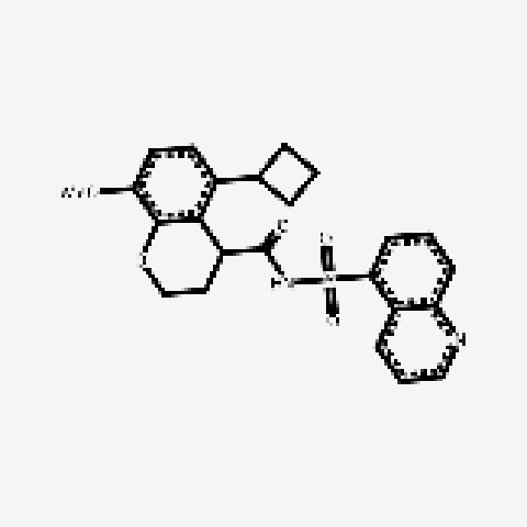 COc1ccc(C2CCC2)c2c1OCCC2C(=O)NS(=O)(=O)c1cccc2ncccc12